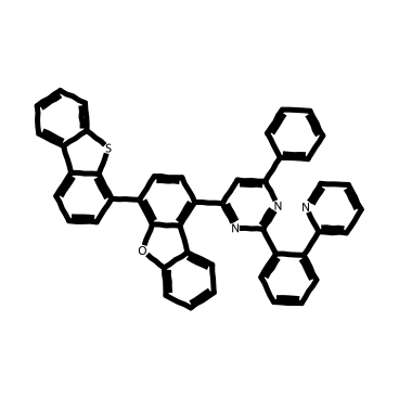 c1ccc(-c2cc(-c3ccc(-c4cccc5c4sc4ccccc45)c4oc5ccccc5c34)nc(-c3ccccc3-c3ccccn3)n2)cc1